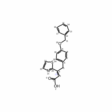 O=C(O)/C=C(/Cc1ccc(OCc2ccccc2)cc1)c1nccs1